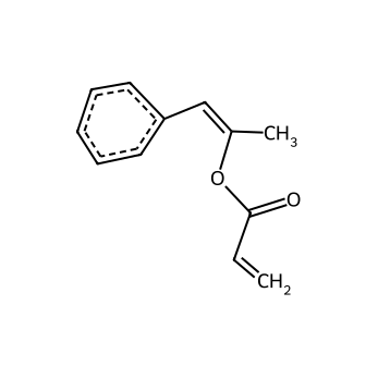 C=CC(=O)OC(C)=Cc1ccccc1